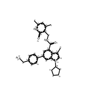 Cc1cc(C)c(CNC(=O)c2cc(-c3ccc(CN)cc3)cc3c2c(C)cn3C2CCCC2)c(=O)[nH]1